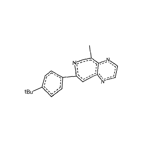 Cc1nc(-c2ccc(C(C)(C)C)cc2)cc2nccnc12